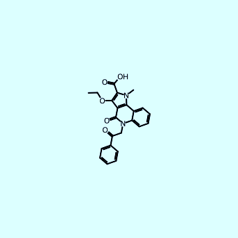 CCOc1c(C(=O)O)n(C)c2c1c(=O)n(CC(=O)c1ccccc1)c1ccccc21